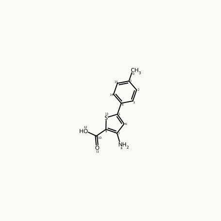 Cc1ccc(-c2cc(N)c(C(=O)O)s2)cc1